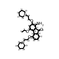 CCOc1cc(OCCN2CCCCC2)c(N)c2c1-c1c(OCCN3CCCCC3)cccc1C2=O